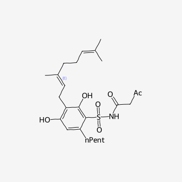 CCCCCc1cc(O)c(C/C=C(\C)CCC=C(C)C)c(O)c1S(=O)(=O)NC(=O)CC(C)=O